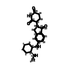 CCN[C@@H]1CCCC[C@H]1Nc1ccc2c(c1)CN(C1CCC(=O)NC1=O)C2=O